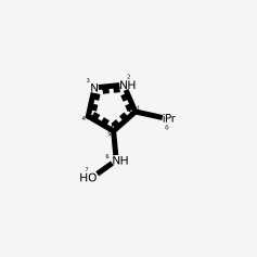 CC(C)c1[nH]ncc1NO